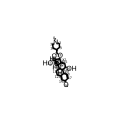 CN1CCC(C2O[C@@H]3C[C@H]4[C@@H]5CCC6=CC(=O)C=C[C@]6(C)[C@@]5(F)[C@@H](O)C[C@]4(C)[C@]3(C(=O)CO)O2)CC1